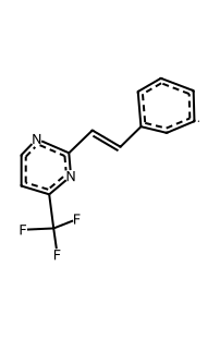 FC(F)(F)c1ccnc(C=Cc2c[c]ccc2)n1